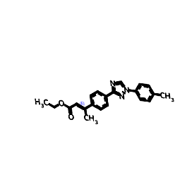 CCOC(=O)/C=C(\C)c1ccc(-c2ncn(-c3ccc(C)cc3)n2)cc1